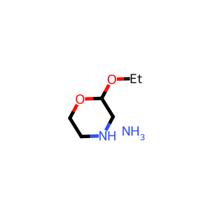 CCOC1CNCCO1.N